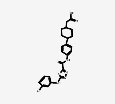 O=C(O)CC1CCC(c2ccc(NC(=O)c3nnc(Nc4cccc(Cl)c4)o3)cc2)CC1